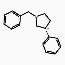 c1ccc(CN2CC[C@H](c3ccccc3)C2)cc1